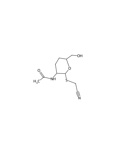 CC(=O)NC1CCC(CO)OC1SCC#N